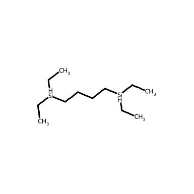 CC[SiH](CC)CCCC[SiH](CC)CC